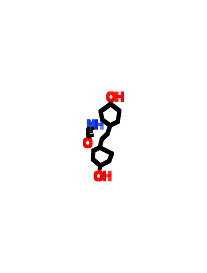 N=C=O.OC1CCC(CCC2CCC(O)CC2)CC1